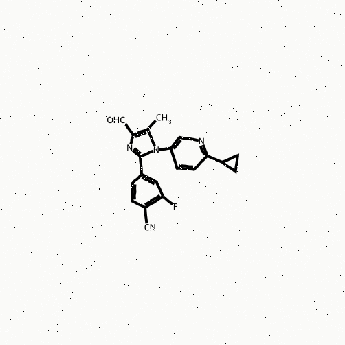 Cc1c(C=O)nc(-c2ccc(C#N)c(F)c2)n1-c1ccc(C2CC2)nc1